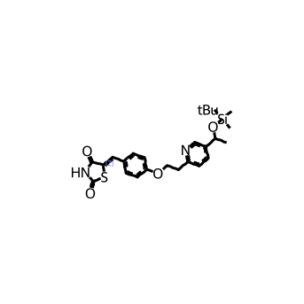 CC(O[Si](C)(C)C(C)(C)C)c1ccc(CCOc2ccc(/C=C3\SC(=O)NC3=O)cc2)nc1